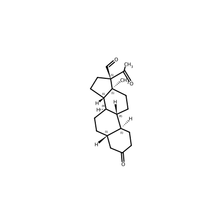 CC(=O)[C@@]1(C=O)CC[C@H]2[C@@H]3CC[C@H]4CC(=O)CC[C@@H]4[C@H]3CC[C@@]21C